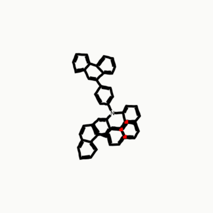 c1ccc(-c2ccccc2N(c2ccc(-c3cc4ccccc4c4ccccc34)cc2)c2ccccc2-c2cccc(-c3cccc4ccccc34)c2)cc1